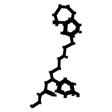 CCOC(=O)CC(CCCCCCc1ccc2c(n1)NCCCC2)c1cnc(C)nc1